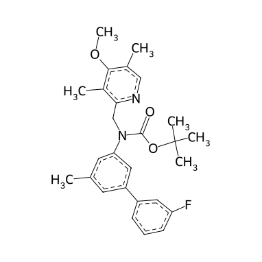 COc1c(C)cnc(CN(C(=O)OC(C)(C)C)c2cc(C)cc(-c3cccc(F)c3)c2)c1C